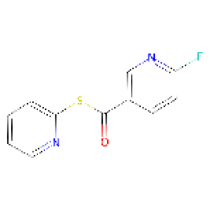 O=C(Sc1ccccn1)c1ccc(F)nc1